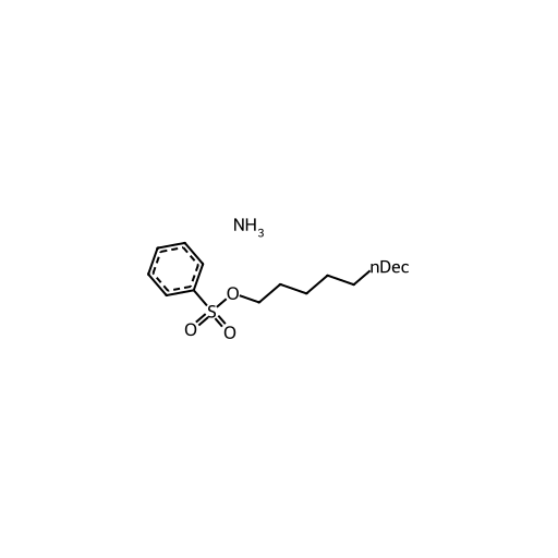 CCCCCCCCCCCCCCCOS(=O)(=O)c1ccccc1.N